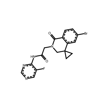 O=C(CN1CC2(CC2)c2cc(Br)ccc2C1=O)Nc1ncncc1F